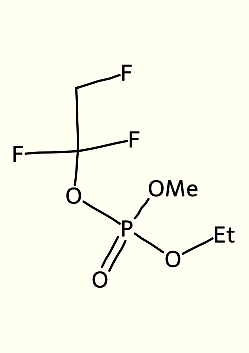 CCOP(=O)(OC)OC(F)(F)CF